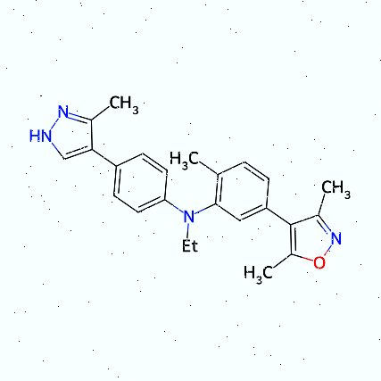 CCN(c1ccc(-c2c[nH]nc2C)cc1)c1cc(-c2c(C)noc2C)ccc1C